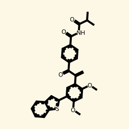 C=C(C(=O)c1ccc(C(=O)NC(=O)C(C)C)cc1)c1cc(-c2cc3ccccc3s2)c(OC)cc1OC